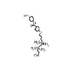 CCCC1CCC(OC(=O)C2CCC(OCCCC[Si](C)(C)CC[Si](C)(C)CCC(C)CC)CC2)CC1